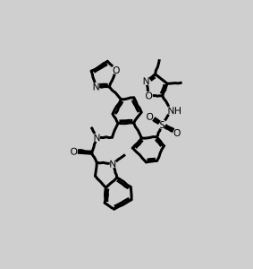 Cc1noc(NS(=O)(=O)c2ccccc2-c2ccc(-c3ncco3)cc2CN(C)C(=O)C2Cc3ccccc3N2C)c1C